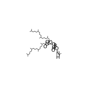 CB(OCC(COC(=O)CC(C)CCCC(C)CCCC(C)CCCC(C)C)OC(=O)CC(C)CCCC(C)CCCC(C)CCCC(C)C)P(N=O)OCCNC(C)C